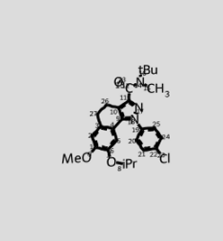 COc1cc2c(cc1OC(C)C)-c1c(c([13C](=O)N(C)C(C)(C)C)nn1-c1ccc(Cl)cc1)CC2